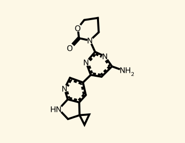 Nc1cc(-c2cnc3c(c2)C2(CC2)CN3)nc(N2CCCOC2=O)n1